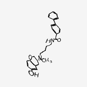 CN(CCCCNC(=O)c1ccc(-c2ccccc2)cc1)[C@H]1COc2ccc(O)cc2C1